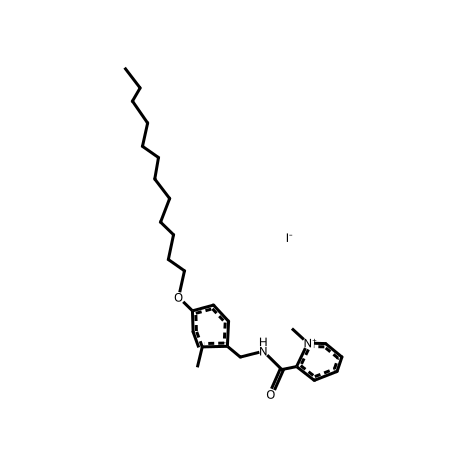 CCCCCCCCCCCCOc1ccc(CNC(=O)c2cccc[n+]2C)c(C)c1.[I-]